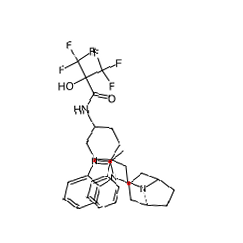 Cc1nc2ccccc2n1C1CC2CCC(C1)N2CCC1(c2ccccc2)CCC(NC(=O)C(O)(C(F)(F)F)C(F)(F)F)CC1